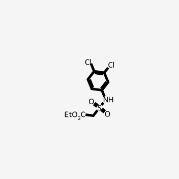 CCOC(=O)CS(=O)(=O)Nc1ccc(Cl)c(Cl)c1